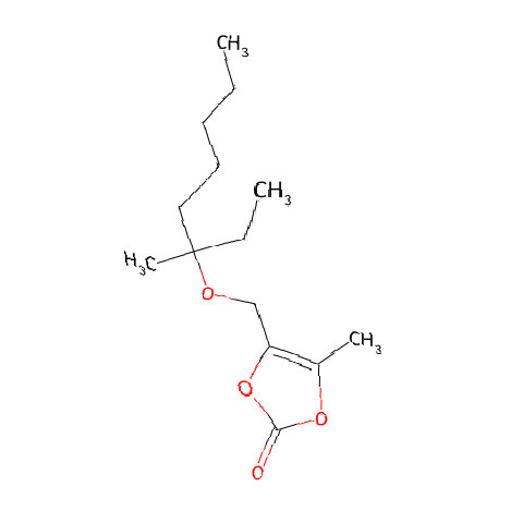 CCCCCC(C)(CC)OCc1oc(=O)oc1C